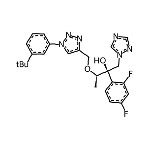 C[C@@H](OCc1cn(-c2cccc(C(C)(C)C)c2)nn1)[C@](O)(Cn1cncn1)c1ccc(F)cc1F